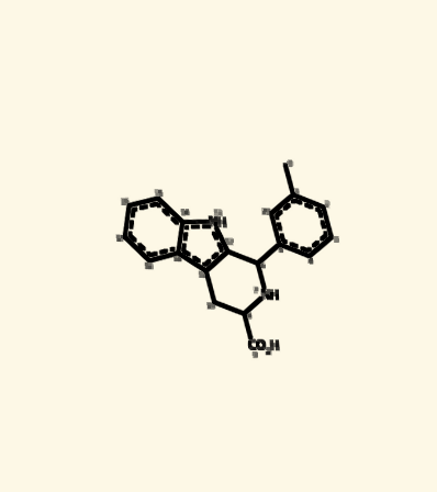 Cc1cccc(C2NC(C(=O)O)Cc3c2[nH]c2ccccc32)c1